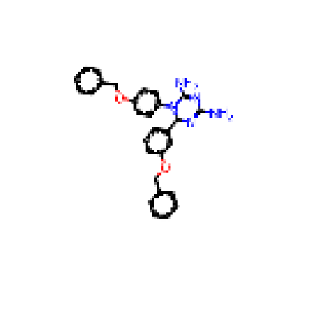 NC1=NC(c2cccc(OCc3ccccc3)c2)N(c2ccc(OCc3ccccc3)cc2)C(N)=N1